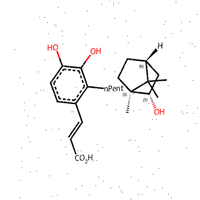 CC1(C)[C@@H]2CC[C@]1(C)[C@@H](O)C2.CCCCCc1c(C=CC(=O)O)ccc(O)c1O